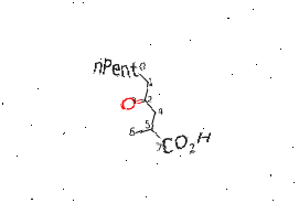 CCCCCCC(=O)CC(C)C(=O)O